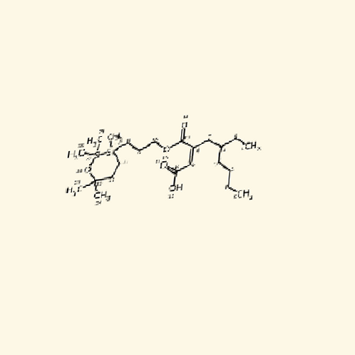 CCCCC(CC)CC(=CC(=O)O)C(=O)OCCC[Si]1(C)CCC(C)(C)O[Si]1(C)C